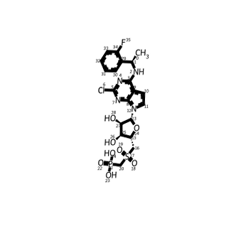 C[C@@H](Nc1nc(Cl)nc2c1ccn2[C@@H]1O[C@H](CS(=O)(=O)CP(=O)(O)O)[C@@H](O)[C@H]1O)c1ccccc1F